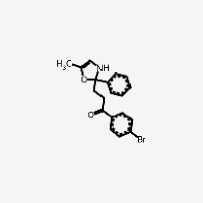 CC1=CNC(CCC(=O)c2ccc(Br)cc2)(c2ccccc2)O1